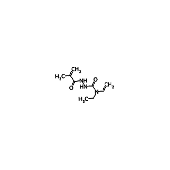 C=CN(CC)C(=O)NNC(=O)C(=C)C